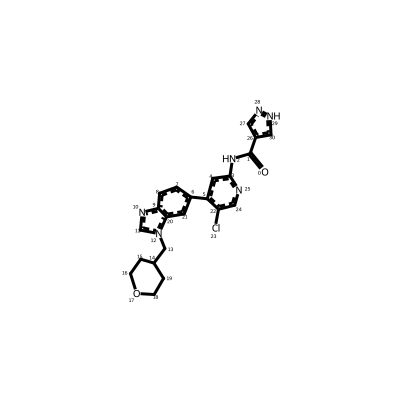 O=C(Nc1cc(-c2ccc3ncn(CC4CCOCC4)c3c2)c(Cl)cn1)c1cn[nH]c1